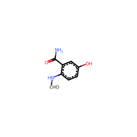 NC(=O)c1cc(O)ccc1NC=O